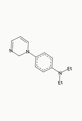 CCN(CC)c1ccc(N2C=CC=NC2)cc1